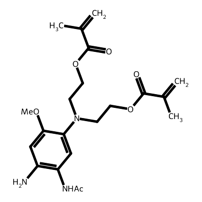 C=C(C)C(=O)OCCN(CCOC(=O)C(=C)C)c1cc(NC(C)=O)c(N)cc1OC